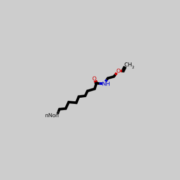 C=COCCNC(=O)CCCCCCCCCCCCCCCCC